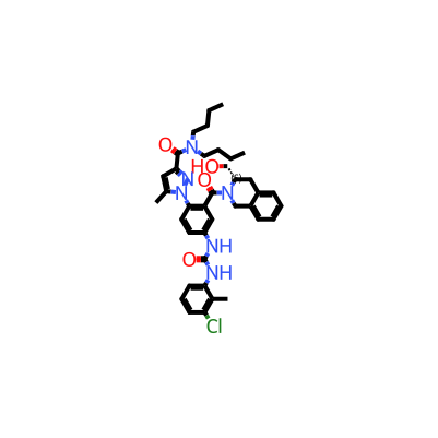 CCCCN(CCCC)C(=O)c1cc(C)n(-c2ccc(NC(=O)Nc3cccc(Cl)c3C)cc2C(=O)N2Cc3ccccc3C[C@H]2CO)n1